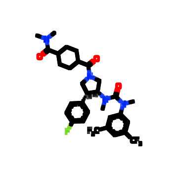 CN(C)C(=O)C1CCC(C(=O)N2C[C@@H](N(C)C(=O)N(C)c3cc(C(F)(F)F)cc(C(F)(F)F)c3)[C@H](c3ccc(F)cc3)C2)CC1